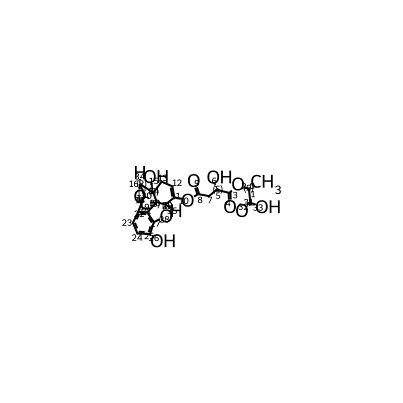 C[C@H](OC(=O)[C@@H](O)CC(=O)OC1=CC[C@@]2(O)[C@@H]3CCC[C@@]24c2c(ccc(O)c2O[C@@H]14)C3)C(=O)O